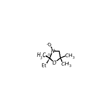 CC[C@]1(C)OC(C)(C)CN1[O]